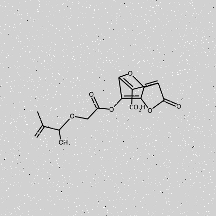 C=C(C)C(O)OCC(=O)Oc1c2c3oc1c(C(=O)O)c3C(=O)O2